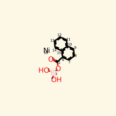 O=C(OB(O)O)c1cccc2ccccc12.[Ni]